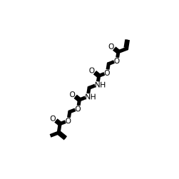 C=CC(=O)OCOC(=O)NCNC(=O)OCOC(=O)C(=C)C